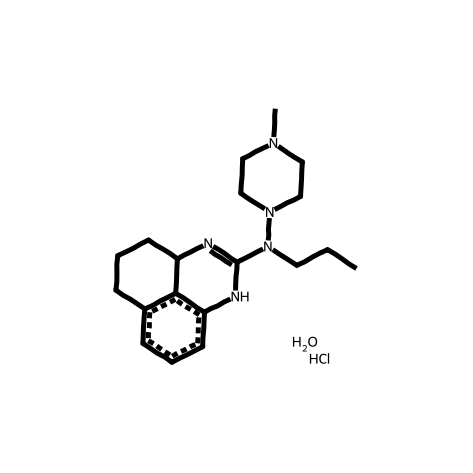 CCCN(C1=NC2CCCc3cccc(c32)N1)N1CCN(C)CC1.Cl.O